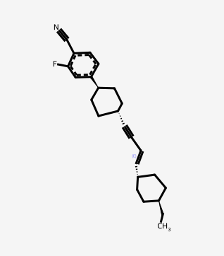 CC[C@H]1CC[C@H](/C=C/C#C[C@H]2CC[C@H](c3ccc(C#N)c(F)c3)CC2)CC1